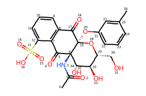 CC(=O)N[C@@]12C(=O)c3c(cccc3S(=O)(=O)O)C(=O)[C@@]1(Oc1cccc(C)c1)O[C@H](CO)[C@@H](O)[C@@H]2O